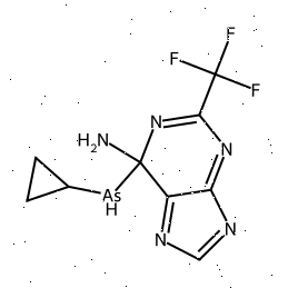 NC1([AsH]C2CC2)N=C(C(F)(F)F)N=C2N=CN=C21